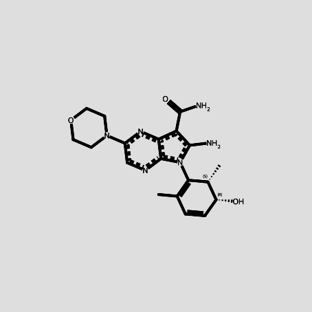 CC1=C(n2c(N)c(C(N)=O)c3nc(N4CCOCC4)cnc32)[C@H](C)[C@H](O)C=C1